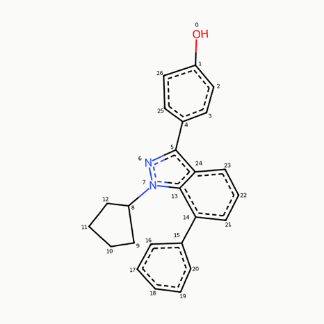 Oc1ccc(-c2nn(C3CCCC3)c3c(-c4ccccc4)cccc23)cc1